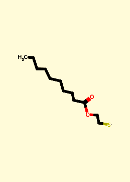 CCCCCCCCCC(=O)OCC[S]